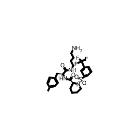 Cc1ccc(C[C@H](NC(=O)[C@@H]2CCCCN2S(=O)(=O)c2cccc(C(F)(F)F)c2)C(=O)NCCCCN)cc1